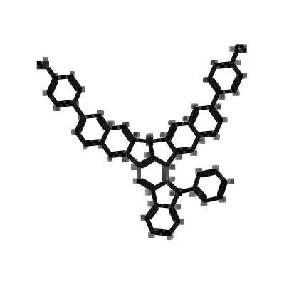 N#Cc1ccc(-c2ccc3cc4c5cc6c7ccccc7n(-c7ccccc7)c6c6c7cc8ccc(-c9ccc(C#N)cc9)cc8cc7n(c4cc3c2)c56)cc1